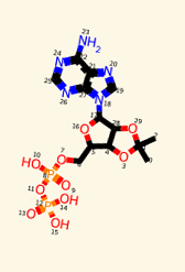 CC1(C)OC2C(COP(=O)(O)OP(=O)(O)O)OC(n3cnc4c(N)ncnc43)C2O1